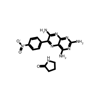 Nc1nc(N)c2nc(-c3ccc([N+](=O)[O-])cc3)c(N)nc2n1.O=C1CCCN1